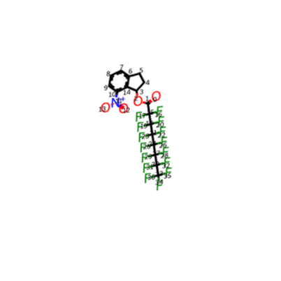 O=C(OC1CCc2cccc([N+](=O)[O-])c21)C(F)(F)C(F)(F)C(F)(F)C(F)(F)C(F)(F)C(F)(F)C(F)(F)F